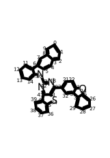 c1ccc2cc3c(cc2c1)c1ccccc1n3-c1nc(-c2ccc3oc4ccccc4c3c2)c2sc3ccccc3c2n1